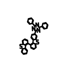 c1ccc(-c2nc(-c3ccccc3)nc(-c3ccc4c(c3)sc3cccc(-c5cccc6sc7ccccc7c56)c34)n2)cc1